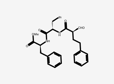 COC(=O)[C@H](Cc1ccccc1)NC(=O)[C@H](CC(C)C)NC(=O)[C@@H](C=O)CCc1ccccc1